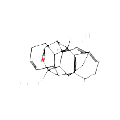 O=C(O)C12C3=C(CCC=C3)C(C3C=CCCC31)C1(C(=O)O)C3C=CCCC3C2C2C=CCCC21